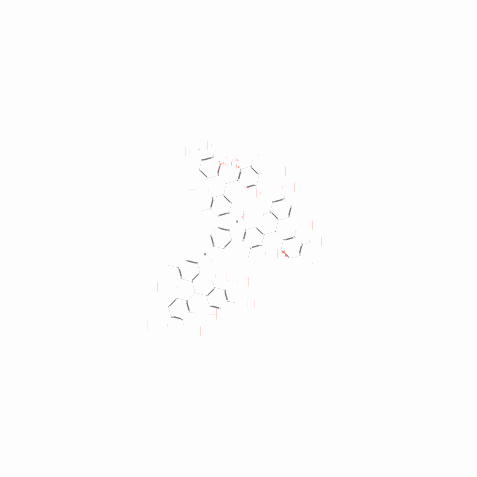 Cc1cc(C(C)(C)c2ccc(C(C)(c3cc(C)c(O)c(C(c4ccc(O)c(O)c4O)c4ccc(O)c(O)c4O)c3)c3cc(C)c(O)c(C(c4ccc(O)c(O)c4O)c4ccc(O)c(O)c4O)c3)cc2)cc(C(c2ccc(O)c(O)c2O)c2ccc(O)c(O)c2O)c1O